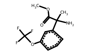 COC(=O)C(C)(N)c1cccc(OC(F)(F)F)c1